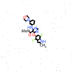 CNC(=O)c1c(Nc2cccc(N3CCOCC3)c2)ncnc1Oc1cc(F)c2[nH]c(C)cc2c1F